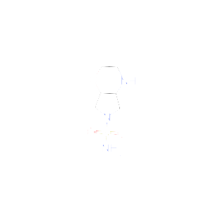 NS(=O)(=O)N1CC2NCCOC2C1